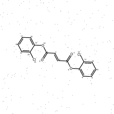 O=C(C=CC(=O)Oc1ccccc1Cl)Oc1ccccc1Cl